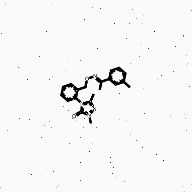 C/C(=N\OCc1ccccc1-n1c(C)nn(C)c1=O)c1cccc(C)c1